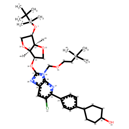 CC(C)(C)[Si](C)(C)O[C@@H]1CO[C@H]2[C@@H]1OC[C@H]2Oc1nc2cc(Cl)c(-c3ccc(C4CCC(O)CC4)cc3)nc2n1COCC[Si](C)(C)C